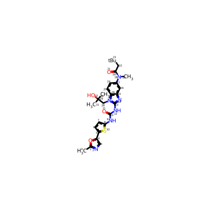 Cc1ncc(-c2ccc(NC(=O)Nc3nc4cc(N(C)C(=O)CC(C)(C)C)ccc4n3CC(C)(C)O)s2)o1